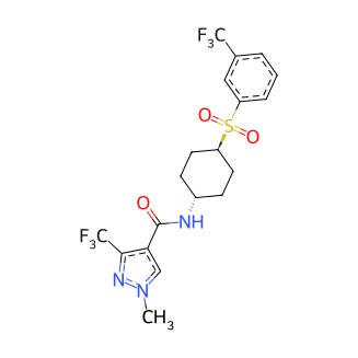 Cn1cc(C(=O)N[C@H]2CC[C@H](S(=O)(=O)c3cccc(C(F)(F)F)c3)CC2)c(C(F)(F)F)n1